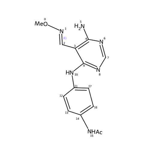 CO/N=C/c1c(N)ncnc1Nc1ccc(NC(C)=O)cc1